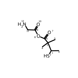 CC(S)C(C)(C)C(=O)OC(=O)CN